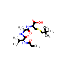 CCC(=O)N[C@H](C(=O)N[C@@H](C)C(=O)NC(CSCC(C)(C)C)C(=O)O)C(C)C